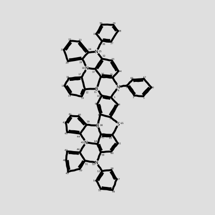 c1ccc(N2c3cc4c(cc3B3c5ccccc5N5c6ccccc6N(c6ccccc6)c6ccc2c3c65)B2c3ccccc3N3c5ccccc5N(c5ccccc5)c5ccc(c2c53)S4)cc1